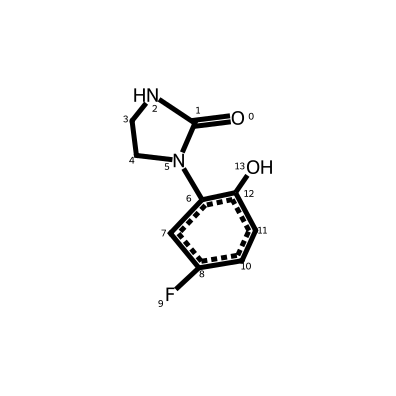 O=C1NCCN1c1cc(F)ccc1O